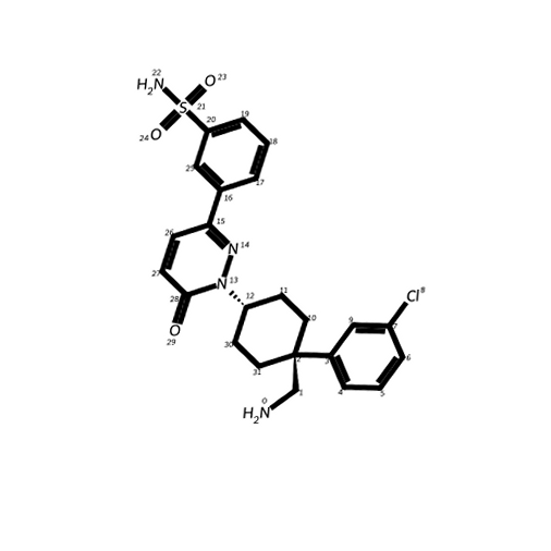 NC[C@]1(c2cccc(Cl)c2)CC[C@@H](n2nc(-c3cccc(S(N)(=O)=O)c3)ccc2=O)CC1